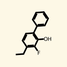 CCc1ccc(-c2ccccc2)c(O)c1F